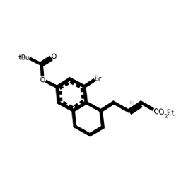 CCOC(=O)/C=C/CC1CCCc2cc(OC(=O)C(C)(C)C)cc(Br)c21